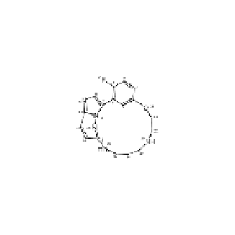 Fc1ccc2cc1-c1cnc3ccc(nn13)NCCCNCCO2